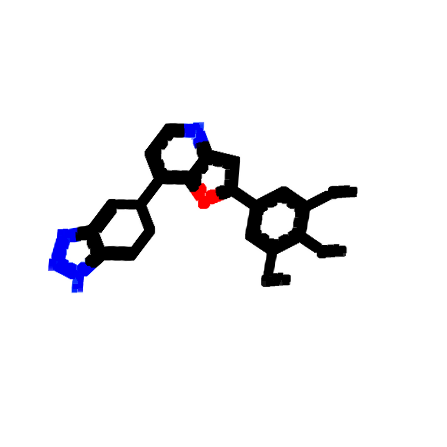 COc1cc(-c2cc3nccc(C4C=c5nn[nH]c5=CC4)c3o2)cc(OC)c1OC